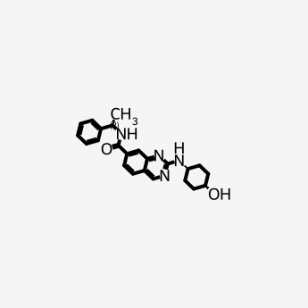 C[C@@H](NC(=O)c1ccc2cnc(N[C@H]3CC[C@H](O)CC3)nc2c1)c1ccccc1